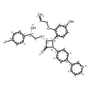 C=CCOc1cc(O)ccc1[C@@H]1[C@@H](SC[C@@H](O)c2ccc(F)cc2)C(=O)N1c1ccc(-c2cccnc2)cc1